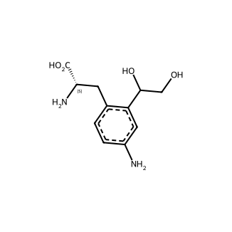 Nc1ccc(C[C@H](N)C(=O)O)c(C(O)CO)c1